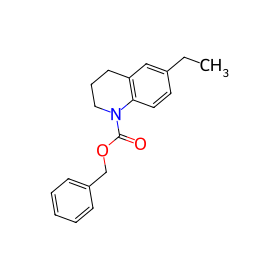 CCc1ccc2c(c1)CCCN2C(=O)OCc1ccccc1